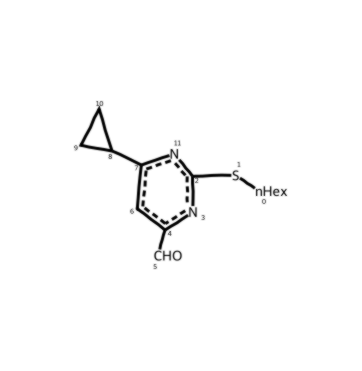 CCCCCCSc1nc(C=O)cc(C2CC2)n1